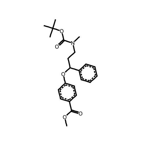 COC(=O)c1ccc(OC(CCN(C)C(=O)OC(C)(C)C)c2ccccc2)cc1